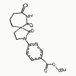 CC(C)(C)OC(=O)c1ccc(N2CCC3(CCCC(=O)NC3=O)C2=O)nc1